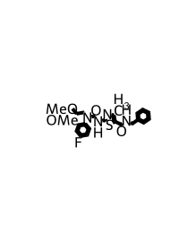 COC(CN(C(=O)Nc1nc(C)c(C(=O)NCc2ccccc2)s1)c1ccc(F)cc1)OC